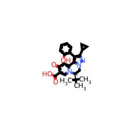 CC(C)(C)[C@@H]1Cn2nc(C3CC3)c(-c3ccccc3O)c2-c2cc(=O)c(C(=O)O)cn21